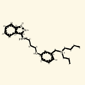 CCCCN(CCC)Cc1cccc(OCCCNc2nsc3ccccc23)c1